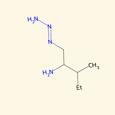 CCC(C)C(N)CN=NN